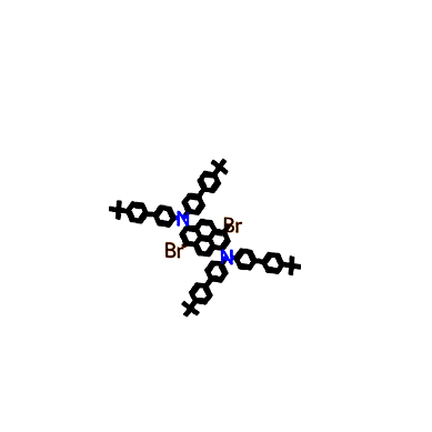 CC(C)(C)c1ccc(-c2ccc(N(c3ccc(-c4ccc(C(C)(C)C)cc4)cc3)c3cc(Br)c4ccc5c(N(c6ccc(-c7ccc(C(C)(C)C)cc7)cc6)c6ccc(-c7ccc(C(C)(C)C)cc7)cc6)cc(Br)c6ccc3c4c65)cc2)cc1